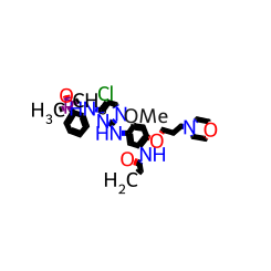 C=CC(=O)Nc1cc(Nc2ncc(Cl)c(Nc3ccccc3P(C)(C)=O)n2)c(OC)cc1OCCCN1CCOCC1